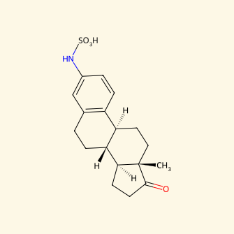 C[C@]12CC[C@@H]3c4ccc(NS(=O)(=O)O)cc4CC[C@H]3[C@@H]1CCC2=O